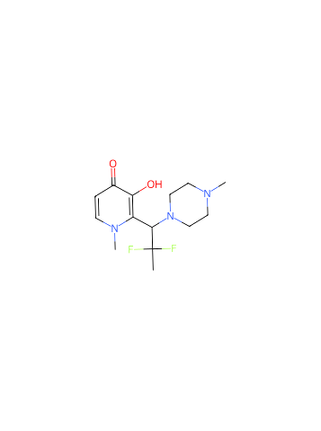 CN1CCN(C(c2c(O)c(=O)ccn2C)C(C)(F)F)CC1